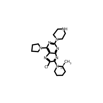 C[C@H]1CCCCN1c1nc2nc(N3CCNCC3)nc(N3CCCC3)c2nc1Cl